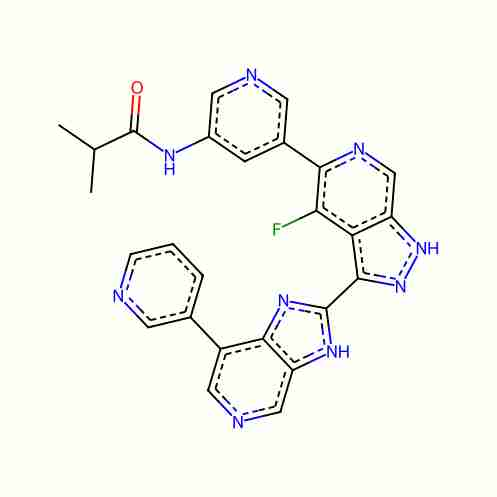 CC(C)C(=O)Nc1cncc(-c2ncc3[nH]nc(-c4nc5c(-c6cccnc6)cncc5[nH]4)c3c2F)c1